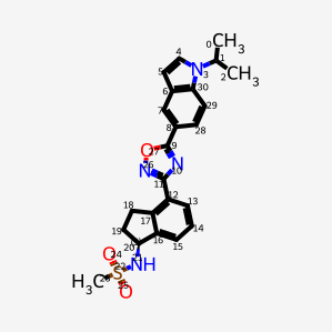 CC(C)n1ccc2cc(-c3nc(-c4cccc5c4CC[C@@H]5NS(C)(=O)=O)no3)ccc21